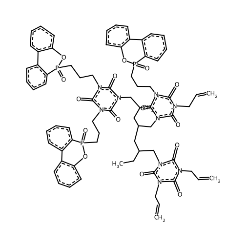 C=CCn1c(=O)n(CC=C)c(=O)n(CC(CC)CC(CC(C)Cn2c(=O)n(CCCP3(=O)Oc4ccccc4-c4ccccc43)c(=O)n(CCCP3(=O)Oc4ccccc4-c4ccccc43)c2=O)Cn2c(=O)n(CC=C)c(=O)n(CCCP3(=O)Oc4ccccc4-c4ccccc43)c2=O)c1=O